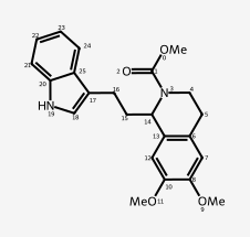 COC(=O)N1CCc2cc(OC)c(OC)cc2C1CCc1c[nH]c2ccccc12